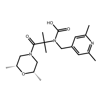 Cc1cc(CN(C(=O)O)C(C)(C)C(=O)N2C[C@@H](C)O[C@@H](C)C2)cc(C)n1